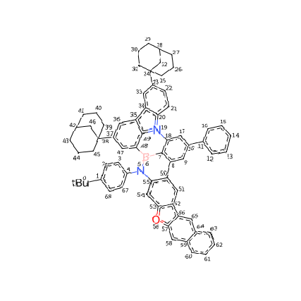 CC(C)(C)c1ccc(N2B3c4c(cc(-c5ccccc5)cc4-n4c5ccc(C67CCCC(CCC6)C7)cc5c5cc(C67CCCC(CCC6)C7)cc3c54)-c3cc4c(cc32)oc2cc3ccccc3cc24)cc1